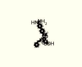 CC(=O)N(C[C@@H]1C[C@@H](CC(=O)O)C(=O)N1CCCc1ccccc1)c1ccc(-c2ccc(C(=N)N)cc2)cc1